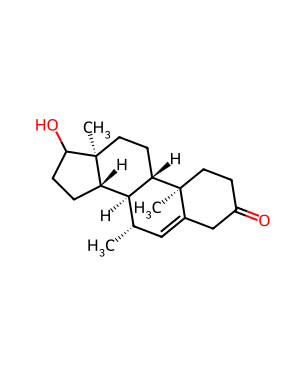 C[C@H]1C=C2CC(=O)CC[C@]2(C)[C@H]2CC[C@]3(C)C(O)CC[C@H]3[C@H]12